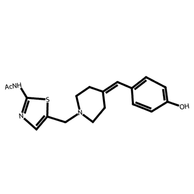 CC(=O)Nc1ncc(CN2CCC(=Cc3ccc(O)cc3)CC2)s1